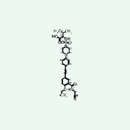 CCOc1ccc(C#Cc2ccc(N3CCN(S(=O)(=O)N[C@@H](C(=O)O)C(C)C)CC3)cc2)cc1C(=O)NCC#N